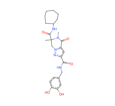 CN1C(=O)c2cc(C(=O)NCc3ccc(O)c(O)c3)nn2CC1(C)C(=O)NC1CCCCCC1